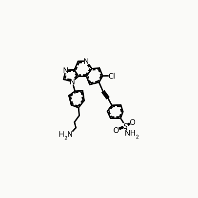 NCCCc1ccc(-n2cnc3cnc4cc(Cl)c(C#Cc5ccc(S(N)(=O)=O)cc5)cc4c32)cc1